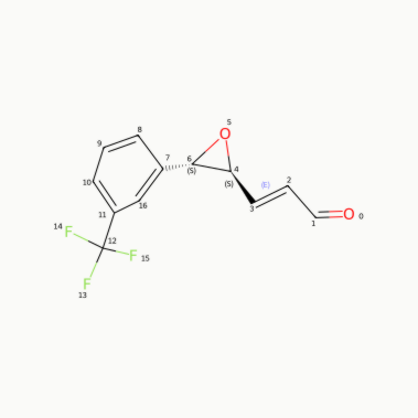 O=C/C=C/[C@@H]1O[C@H]1c1cccc(C(F)(F)F)c1